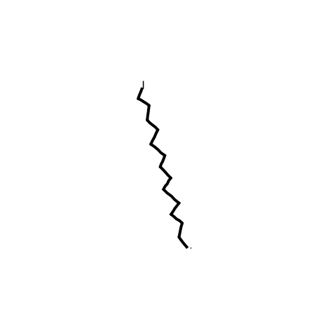 [CH2]CCCCCCCCCCCCCI